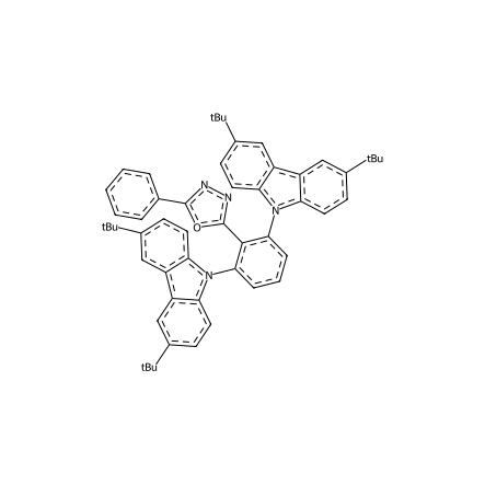 CC(C)(C)c1ccc2c(c1)c1cc(C(C)(C)C)ccc1n2-c1cccc(-n2c3ccc(C(C)(C)C)cc3c3cc(C(C)(C)C)ccc32)c1-c1nnc(-c2ccccc2)o1